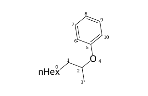 CCCCCCCC(C)Oc1[c]cccc1